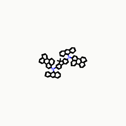 CC1(C)c2cc(N(c3c4ccccc4cc4ccccc34)c3ccc4c5cccc6cccc(c7cccc3c74)c65)ccc2-c2ccc(N(c3c4ccccc4cc4ccccc34)c3ccc4c5cccc6cccc(c7cccc3c74)c65)cc21